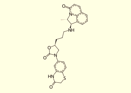 C[C@H]1[C@H](NCCC[C@H]2CN(c3ccc4c(c3)NC(=O)CS4)C(=O)O2)c2cccc3ccc(=O)n1c23